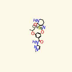 COC[C@H](C)Oc1cc(Oc2nc3c(s2)C(=O)NCCC3)cc(C(=O)Nc2ccn(C)n2)c1